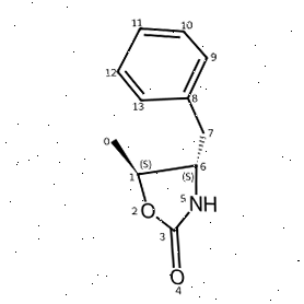 C[C@@H]1OC(=O)N[C@H]1Cc1ccccc1